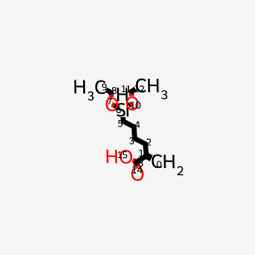 C=C(CCCC[SiH](OCC)OCC)C(=O)O